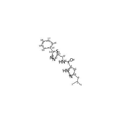 CC(C)Cc1cc(C(=O)NCc2nnc(-c3ccccc3)s2)[nH]n1